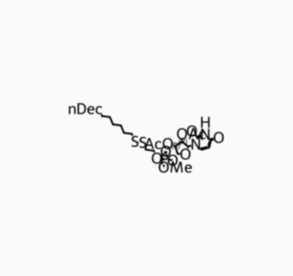 CCCCCCCCCCCCCCCCSSCCOP(=O)(OC)OC1OC(n2ccc(=O)[nH]c2=O)[C@H](OC(C)=O)[C@H]1OC(C)=O